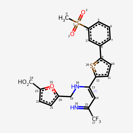 CS(=O)(=O)c1cccc(-c2ccc(/C(=C/C(=N)C(F)(F)F)NCc3ccc(C(=O)O)o3)s2)c1